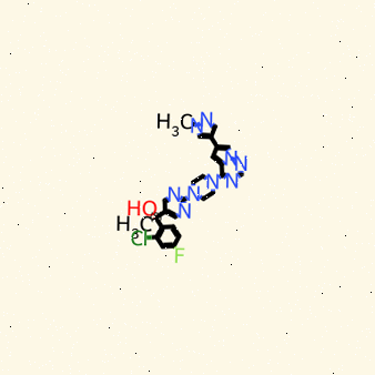 Cn1cc(-c2cc3c(N4CCN(c5ncc([C@](C)(O)c6ccc(F)cc6Cl)cn5)CC4)ncnn3c2)cn1